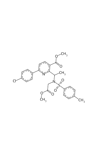 COC(=O)CN(C(C)c1nc(-c2ccc(Cl)cc2)ccc1C(=O)OC)S(=O)(=O)c1ccc(C)cc1